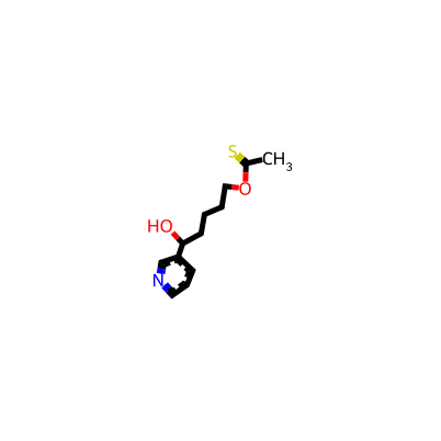 CC(=S)OCCCCC(O)c1cccnc1